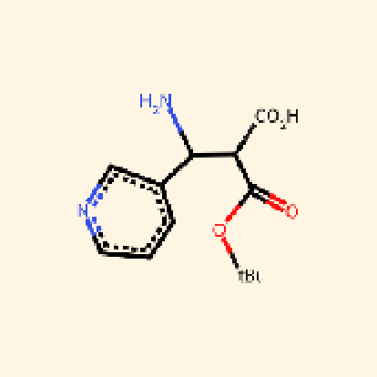 CC(C)(C)OC(=O)C(C(=O)O)C(N)c1cccnc1